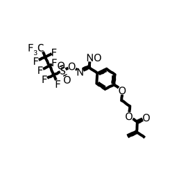 C=C(C)C(=O)OCCOc1ccc(/C(N=O)=N/OS(=O)(=O)C(F)(F)C(F)(F)C(F)(F)C(F)(F)F)cc1